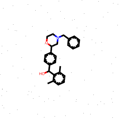 Cc1cccc(C)c1C(O)c1ccc(C2CN(Cc3ccccc3)CCO2)cc1